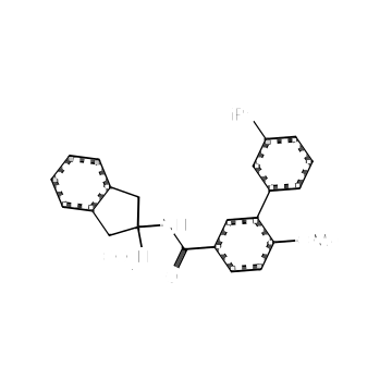 COc1ccc(C(=O)NC2(C(=O)O)Cc3ccccc3C2)cc1-c1cccc(C(C)C)c1